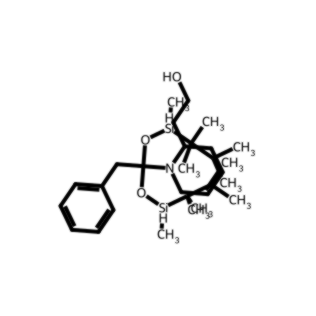 CC(C)C(C)(C)[SiH](C)OC(Cc1ccccc1)(O[SiH](C)C(C)(C)C(C)C)N1CC=CCC1CCO